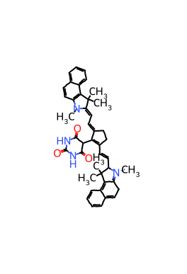 CN1C(=CC=C2CCC(C=CC3[N+](C)=C4CC=c5ccccc5=C4C3(C)C)=C2C2C(=O)NC(=O)NC2=O)C(C)(C)c2c1ccc1ccccc21